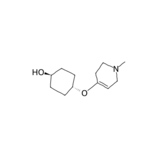 CN1CC=C(O[C@H]2CC[C@H](O)CC2)CC1